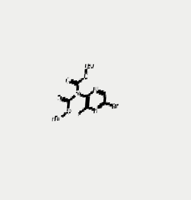 CC(C)(C)OC(=O)N(C(=O)OC(C)(C)C)c1ncc(Br)nc1I